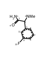 CNC(C(N)=O)c1cccc(F)c1